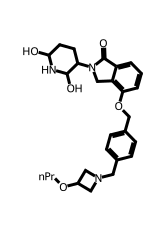 CCCOC1CN(Cc2ccc(COc3cccc4c3CN(C3CCC(O)NC3O)C4=O)cc2)C1